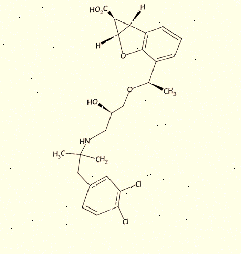 C[C@@H](OC[C@H](O)CNC(C)(C)Cc1ccc(Cl)c(Cl)c1)c1cccc2c1O[C@@H]1[C@@H](C(=O)O)[C@H]21